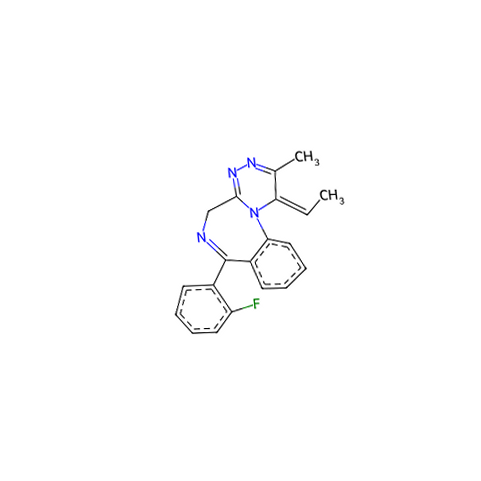 CC=C1C(C)=NN=C2CN=C(c3ccccc3F)c3ccccc3N12